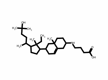 CCC1(C)C(C(C)CCC(C)(C)O)CCC1C1CC=C2CC(NCCCC(=O)O)CCC2(C)C1